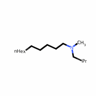 CCCCCCCCCCCN(C)CC(C)C